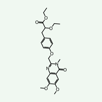 CCOC(=O)C(Cc1ccc(OCc2nc3cc(OC)c(OC)cc3c(=O)n2C)cc1)OCC